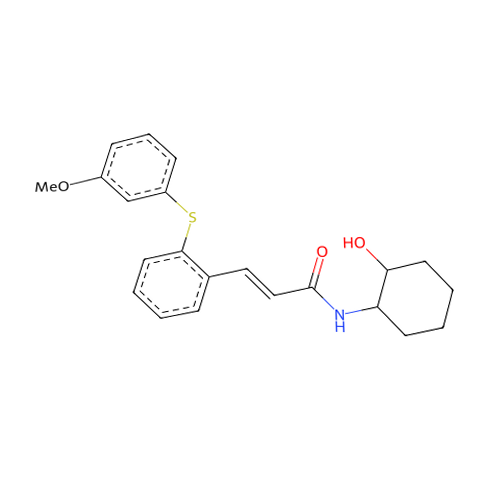 COc1cccc(Sc2ccccc2/C=C/C(=O)NC2CCCCC2O)c1